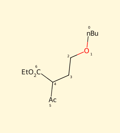 CCCCOCCC(C(C)=O)C(=O)OCC